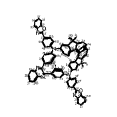 CC1(C)c2ccccc2-c2ccc(N(c3ccc(-c4nc5ccccc5o4)cc3)c3ccc(-c4nc5ccccc5nc4-c4ccc(N(c5ccc(-c6nc7ccccc7o6)cc5)c5ccc6c(c5)C(C)(C)c5ccccc5-6)cc4)cc3)cc21